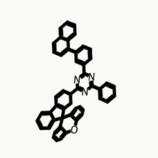 C1=CC(c2nc(-c3ccccc3)nc(-c3cccc(-c4cccc5ccccc45)c3)n2)CC2=C1c1ccccc1C21c2ccccc2Oc2ccccc21